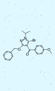 COc1ccc(C(=O)c2c(OCc3ccccc3)nn(C(C)C)c2Br)cc1